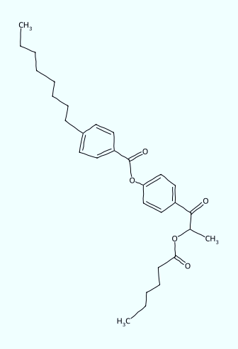 CCCCCCCCc1ccc(C(=O)Oc2ccc(C(=O)C(C)OC(=O)CCCCC)cc2)cc1